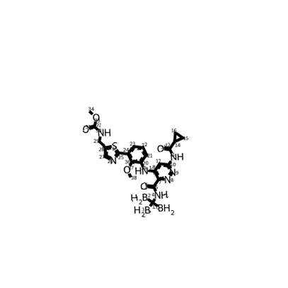 BC(B)(B)NC(=O)c1nnc(NC(=O)C2CC2)cc1Nc1cccc(-c2ncc(CNC(=O)OC)s2)c1OC